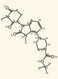 CN1C(=O)CCC(n2c(=O)n(C)c3c(N4CCN(C(=O)OC(C)(C)C)CC4)cccc32)C1=O